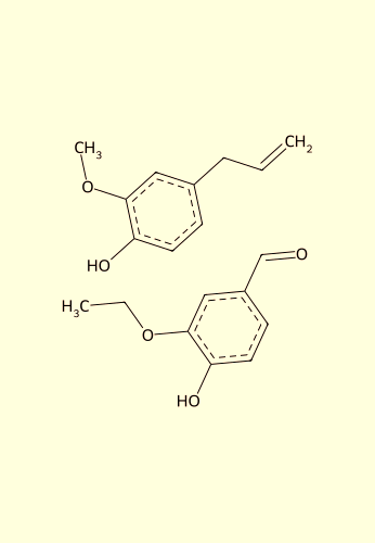 C=CCc1ccc(O)c(OC)c1.CCOc1cc(C=O)ccc1O